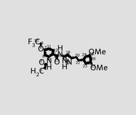 C=CC(=O)Nc1cc(OCC(F)(F)F)ccc1C(=O)Nc1cc(CCc2cc(OC)cc(OC)c2)n[nH]1